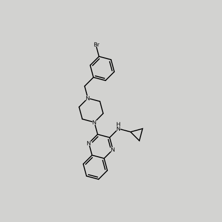 Brc1cccc(CN2CCN(c3nc4ccccc4nc3NC3CC3)CC2)c1